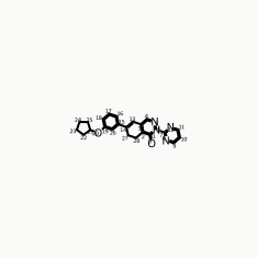 O=c1c2c(cnn1-c1ncccn1)C=C(c1cccc(OC3CCCC3)c1)CC2